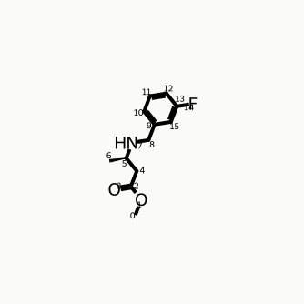 COC(=O)C[C@@H](C)NCc1cccc(F)c1